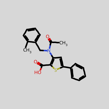 CC(=O)N(Cc1ccccc1C)c1cc(-c2ccccc2)sc1C(=O)O